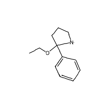 CCOC1(c2ccccc2)CCC[N]1